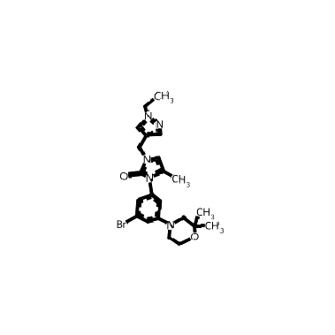 CCn1cc(Cn2cc(C)n(-c3cc(Br)cc(N4CCOC(C)(C)C4)c3)c2=O)cn1